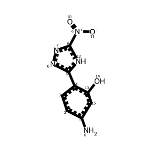 Nc1ccc(-c2nnc([N+](=O)[O-])[nH]2)c(O)c1